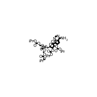 CC(C)OC(=O)OCOP(=O)(OCOC(=O)OC(C)C)OC[C@H]1O[C@@](C#N)(c2ccc3c(N)ncnn23)[C@H](OC(=O)OC(C)C)[C@@H]1OC(=O)OC(C)C